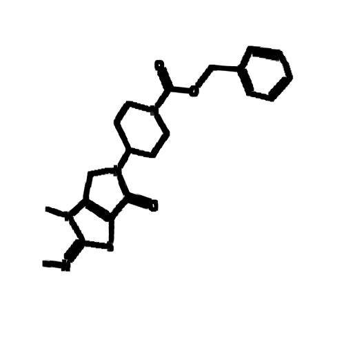 CN=c1sc2c(n1C)CN(C1CCN(C(=O)OCc3ccccc3)CC1)C2=O